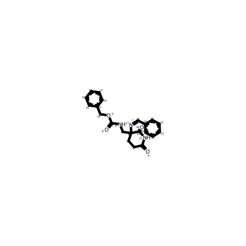 O=C1CCC(CNC(=O)OCc2ccccc2)(/N=C\c2ccccc2)C(=O)N1